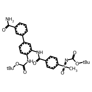 CC(C)(C)OC(=O)N=S(C)(=O)c1ccc(C(=O)Nc2cc(-c3cccc(C(N)=O)c3)ccc2NC(=O)OC(C)(C)C)cc1